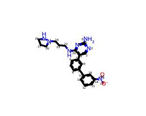 Nc1ncc(-c2cccc(-c3cccc([N+](=O)[O-])c3)c2)c(NCCCN2CCCN2)n1